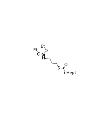 CCCCCCCC(=O)SCCCC[SiH](OCC)OCC